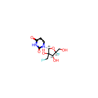 O=c1ccn([C@@H]2O[C@](F)(CO)[C@@H](O)C2(O)CF)c(=O)[nH]1